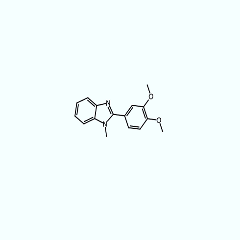 COc1ccc(-c2nc3ccccc3n2C)cc1OC